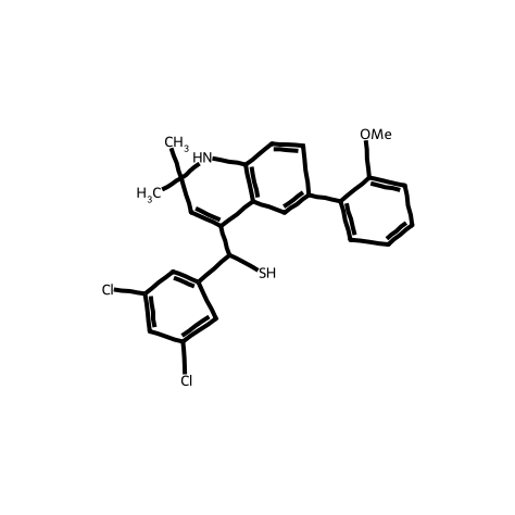 COc1ccccc1-c1ccc2c(c1)C(C(S)c1cc(Cl)cc(Cl)c1)=CC(C)(C)N2